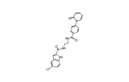 O=C(NCCNC(=O)c1cc2cc(Cl)ccc2[nH]1)c1ccc(-n2ccccc2=O)cc1